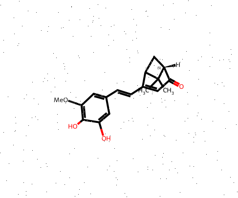 COc1cc(C=CC2=CC(=O)[C@H]3CC2C3(C)C)cc(O)c1O